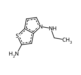 CCNn1ccc2sc(N)cc21